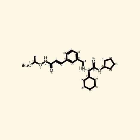 CC(C)COC(C)ONC(=O)/C=C/c1cccc(CN[C@H](C(=O)OC2CCCC2)C2CCCCC2)c1